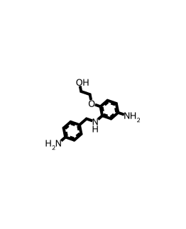 Nc1ccc(CNc2cc(N)ccc2OCCO)cc1